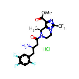 COC(=O)c1nc(C(F)(F)F)n2c1[C@H](C)N(C(=O)C[C@H](N)Cc1cc(F)c(F)cc1F)CC2.Cl